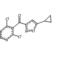 O=C(c1cc(C2CC2)on1)c1c(Cl)ccnc1Cl